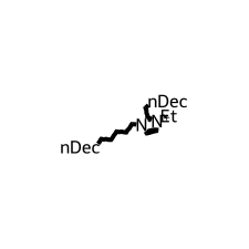 CCCCCCCCCCCCCCCn1cc[n+](CC)c1CCCCCCCCCCC